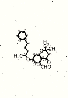 CC(CCCc1ccccc1)Oc1cc(C=O)c2c(c1)OC(C)(C)CC2=O